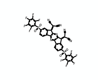 N#CC(C#N)=C1c2cc(S(=O)(=O)c3c(F)c(F)c(F)c(F)c3F)ccc2-c2nc3c(nc21)C(=C(C#N)C#N)c1cc(S(=O)(=O)c2c(F)c(F)c(F)c(F)c2F)ccc1-3